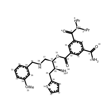 CCCN(CCC)C(=O)c1cc(C(N)=O)cc(C(=O)O[C@H](CNCc2cccc(OC)c2)[C@@H](N)Cc2cccs2)c1